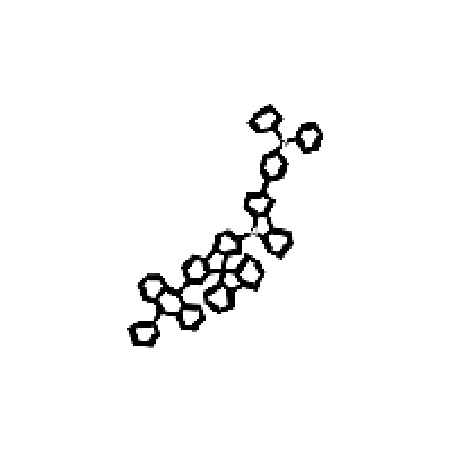 c1ccc(-c2c3ccccc3c(-c3ccc4c(c3)C3(c5ccccc5-c5ccccc53)c3cc(-n5c6ccccc6c6cc(-c7ccc(N(c8ccccc8)c8ccccc8)cc7)ccc65)ccc3-4)c3ccccc23)cc1